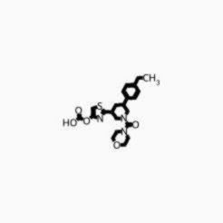 CCc1ccc(C2CC(c3nc(OC(=O)O)cs3)CN(C(=O)N3CCOCC3)C2)cc1